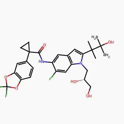 BC(B)(O)C(C)(C)c1cc2cc(NC(=O)C3(c4ccc5c(c4)OC(F)(F)O5)CC3)c(F)cc2n1C[C@@H](O)CO